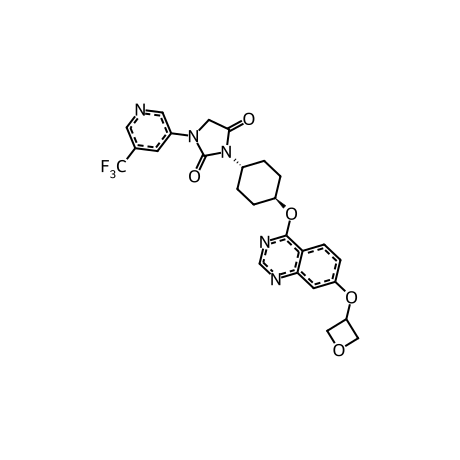 O=C1CN(c2cncc(C(F)(F)F)c2)C(=O)N1[C@H]1CC[C@H](Oc2ncnc3cc(OC4COC4)ccc23)CC1